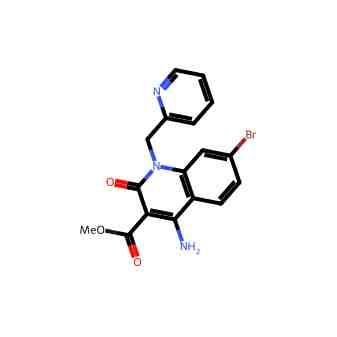 COC(=O)c1c(N)c2ccc(Br)cc2n(Cc2ccccn2)c1=O